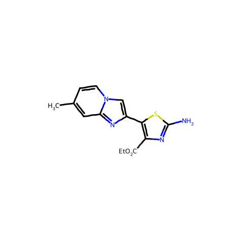 CCOC(=O)c1nc(N)sc1-c1cn2ccc(C)cc2n1